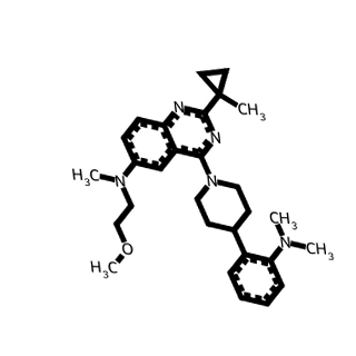 COCCN(C)c1ccc2nc(C3(C)CC3)nc(N3CCC(c4ccccc4N(C)C)CC3)c2c1